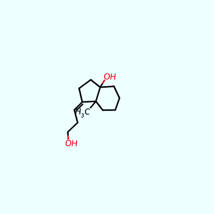 CC12CCCCC1(O)CC/C2=C/CCO